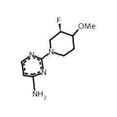 COC1CCN(c2nccc(N)n2)C[C@H]1F